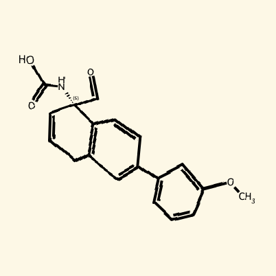 COc1cccc(-c2ccc3c(c2)CC=C[C@]3(C=O)NC(=O)O)c1